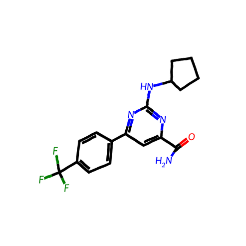 NC(=O)c1cc(-c2ccc(C(F)(F)F)cc2)nc(NC2CCCC2)n1